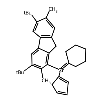 Cc1cc2c(cc1C(C)(C)C)-c1cc(C(C)(C)C)c(C)[c]([Zr]([C]3=CC=CC3)=[C]3CCCCC3)c1C2